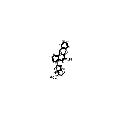 CC(=O)O[C@H]1CO[C@@H]2C(Oc3c(C#N)c(=O)n(Cc4ccccc4)c4ccccc34)CO[C@H]12